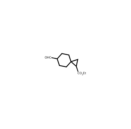 CCOC(=O)C1CC12CCC(C=O)CC2